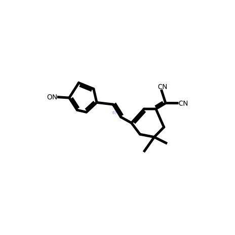 CC1(C)CC(/C=C/c2ccc(N=O)cc2)=CC(=C(C#N)C#N)C1